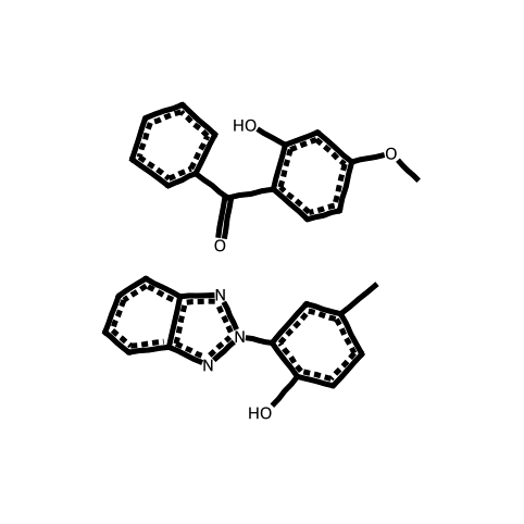 COc1ccc(C(=O)c2ccccc2)c(O)c1.Cc1ccc(O)c(-n2nc3ccccc3n2)c1